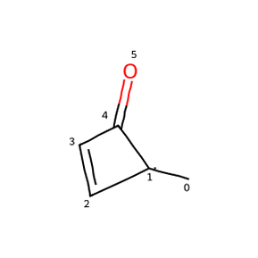 C[C]1C=CC1=O